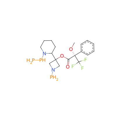 CO[C@](C(=O)OC1(C2CCCCN2PP)CN(P)C1)(c1ccccc1)C(F)(F)F